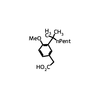 CCCCCC(C)(C)c1cc(CC(=O)O)ccc1OC